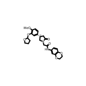 COc1ccc([C@@H]2CC(=O)N(CC(=O)Nc3ccc4c(c3)OCCO4)C2)cc1OC1CCCO1